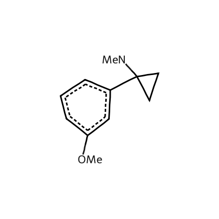 CNC1(c2cccc(OC)c2)CC1